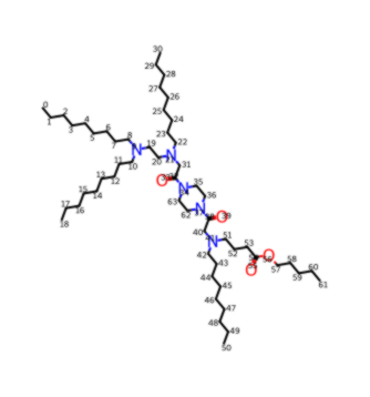 CCCCCCCCCN(CCCCCCCCC)CCN(CCCCCCCCC)CC(=O)N1CCN(C(=O)CN(CCCCCCCCC)CCCC(=O)OCCCCC)CC1